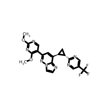 COc1ncc(-c2cc([C@H]3C[C@@H]3c3ncc(C(F)(F)F)cn3)c3nccn3n2)c(OC)n1